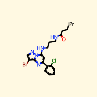 CC(C)CCC(=O)NCCCNc1cc(-c2ccccc2Cl)nc2c(Br)cnn12